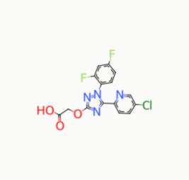 O=C(O)COc1nc(-c2ccc(Cl)cn2)n(-c2ccc(F)cc2F)n1